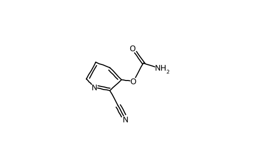 N#Cc1ncccc1OC(N)=O